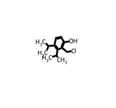 CC(C)c1ccc(O)c(CCl)c1C(C)C